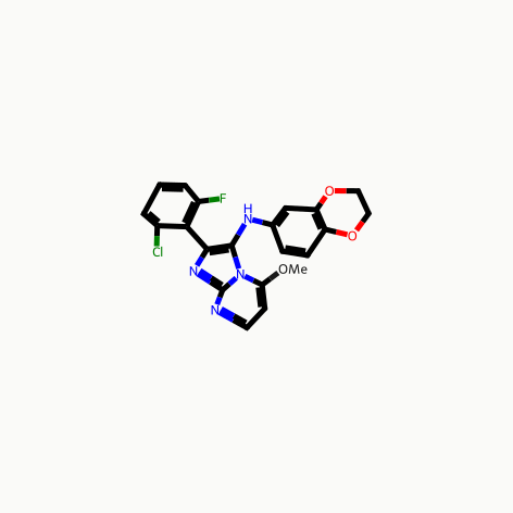 COc1ccnc2nc(-c3c(F)cccc3Cl)c(Nc3ccc4c(c3)OCCO4)n12